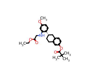 CCOC(=O)CNc1cc(OC)ccc1[C@H]1CCc2cc(OC(=O)C(C)(C)C)ccc2C1